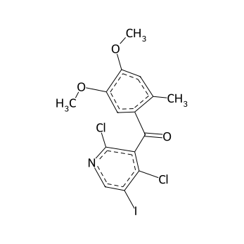 COc1cc(C)c(C(=O)c2c(Cl)ncc(I)c2Cl)cc1OC